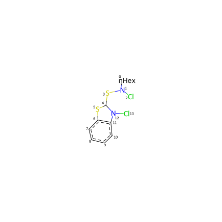 CCCCCCN(Cl)SC1Sc2ccccc2N1Cl